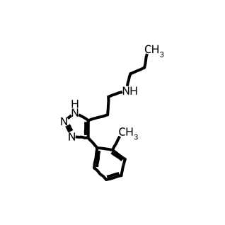 CCCNCCc1[nH]nnc1-c1ccccc1C